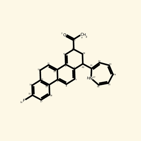 CC(=O)C1C=c2c(ccc3c2=CCc2cc(F)ccc2-3)C(C2=CC=CC=CN2)C1